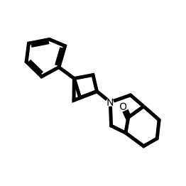 O=C1C2CCCC1CN(C13CC(c4ccccc4)(C1)C3)C2